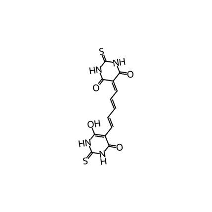 O=C1NC(=S)NC(=O)C1=CC=CC=Cc1c(O)[nH]c(=S)[nH]c1=O